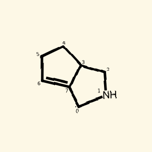 [CH]1NCC2CCC=C12